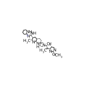 COc1ncc(F)c([C@@H](C)C(=O)N2CC[C@@]3(CCc4cc(C(=N)/N=c5/cccc[nH]5)c(C)nc4N3)C2)n1